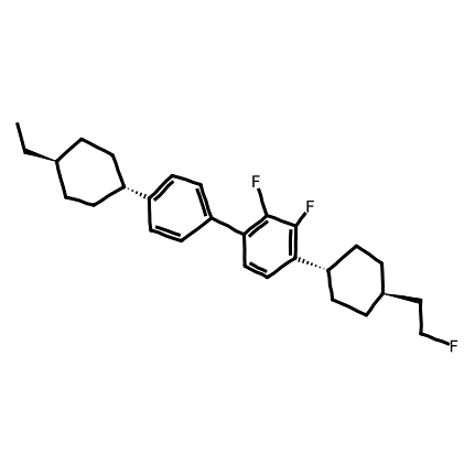 CC[C@H]1CC[C@H](c2ccc(-c3ccc([C@H]4CC[C@H](CCF)CC4)c(F)c3F)cc2)CC1